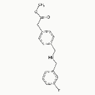 COC(=O)Cc1ccc(CNCc2cccc(F)c2)cc1